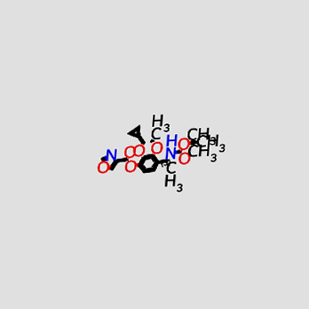 CCOc1c([C@H](C)NC(=O)OC(C)(C)C)ccc(OC(=O)c2cocn2)c1OCC1CC1